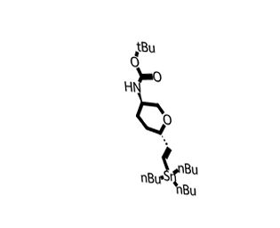 CCC[CH2][Sn](/[CH]=C/[C@@H]1CC[C@@H](NC(=O)OC(C)(C)C)CO1)([CH2]CCC)[CH2]CCC